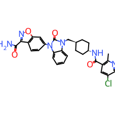 Cc1ncc(Cl)cc1C(=O)N[C@H]1CC[C@H](Cn2c(=O)n(-c3ccc4c(C(N)=O)noc4c3)c3ccccc32)CC1